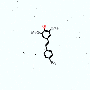 COc1cc(C=Cc2ccc([N+](=O)[O-])cc2)cc(OC)c1O